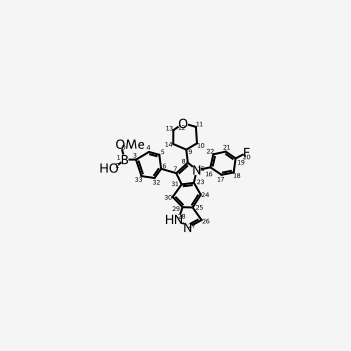 COB(O)c1ccc(-c2c(C3CCOCC3)n(-c3ccc(F)cc3)c3cc4cn[nH]c4cc23)cc1